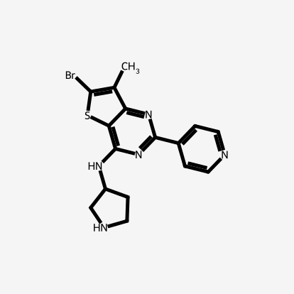 Cc1c(Br)sc2c(NC3CCNC3)nc(-c3ccncc3)nc12